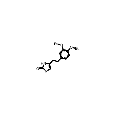 CCOc1ccc(CCC2=C[N]C(=O)N2)cc1OCC